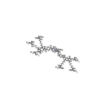 C=C(C(=O)N[C@H]1CC[C@H](NC(=O)c2cc(C(=O)NCCN(C)C)c(OCCCCCNC(=N)N)cc2OCCCCCNC(=N)N)CC1)/C(=C\C(OC)=C(/C)C(=O)N[C@H]1CC[C@H](NC(=O)C2=CCC(C(=O)NCCN(C)C)=C(OCCCCCNC(=N)N)C=C2OCCCCCNC(=N)NC)CC1)OC